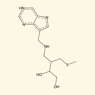 CSCC(CNCc1cnc2c[nH]cnc1-2)C(O)CO